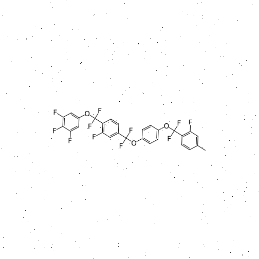 Cc1ccc(C(F)(F)Oc2ccc(OC(F)(F)c3ccc(C(F)(F)Oc4cc(F)c(F)c(F)c4)c(F)c3)cc2)c(F)c1